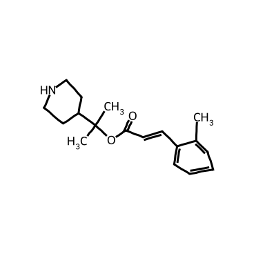 Cc1ccccc1/C=C/C(=O)OC(C)(C)C1CCNCC1